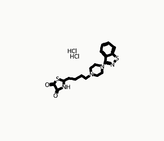 Cl.Cl.O=C1NC(CCCCN2CCN(c3nsc4ccccc34)CC2)SC1=O